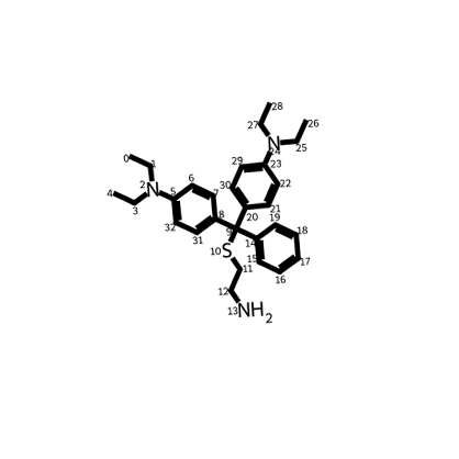 CCN(CC)c1ccc(C(SCCN)(c2ccccc2)c2ccc(N(CC)CC)cc2)cc1